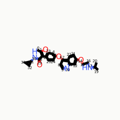 Cc1oc2cc(Oc3ccnc4cc(OCCNC(C)C)ccc34)ccc2c1C(=O)NC1CC1